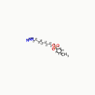 Cc1ccc(S(=O)(=O)OCCCCCCCCCN=[N+]=[N-])cc1